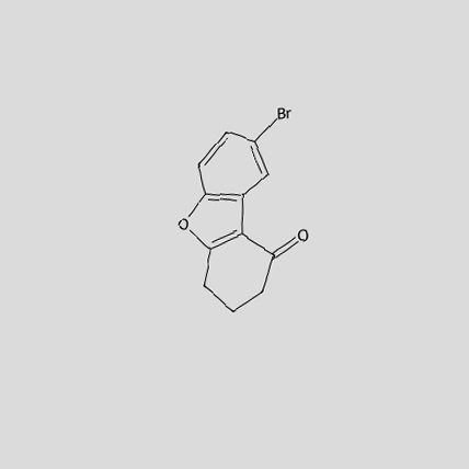 O=C1CCCc2oc3ccc(Br)cc3c21